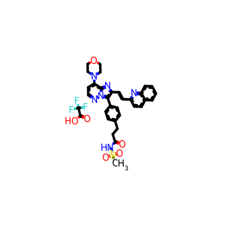 CS(=O)(=O)NC(=O)CCc1ccc(-c2c(C=Cc3ccc4ccccc4n3)nc3c(N4CCOCC4)ccnn23)cc1.O=C(O)C(F)(F)F